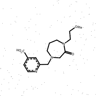 COCCN1CCCN(Cc2cc(C(=O)O)ccn2)CC1=O